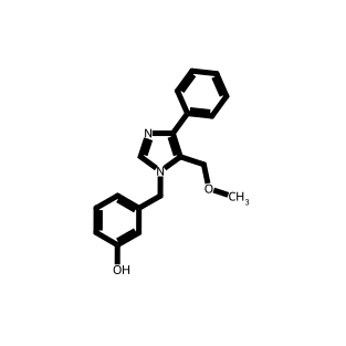 COCc1c(-c2ccccc2)ncn1Cc1cccc(O)c1